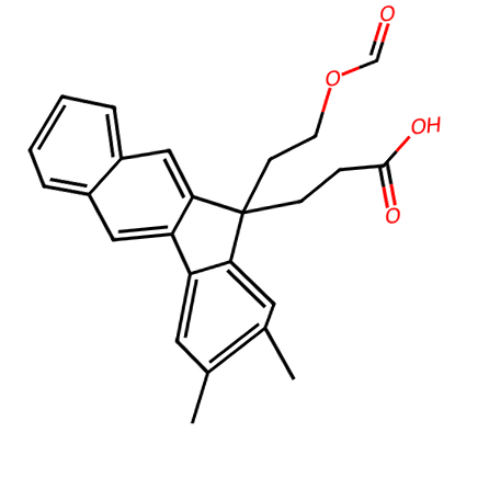 Cc1cc2c(cc1C)C(CCOC=O)(CCC(=O)O)c1cc3ccccc3cc1-2